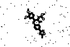 COC(=O)N=C(SC)C(=Nc1ccc(-c2noc(C)n2)cc1)c1cnc(OC)c(OC)c1